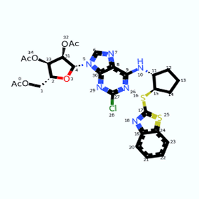 CC(=O)OC[C@H]1O[C@@H](n2cnc3c(N[C@@H]4CCC[C@H]4Sc4nc5ccccc5s4)nc(Cl)nc32)[C@H](OC(C)=O)[C@@H]1OC(C)=O